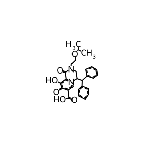 CC(C)OCCN1CC(C(c2ccccc2)c2ccccc2)n2cc(C(=O)O)c(=O)c(O)c2C1=O